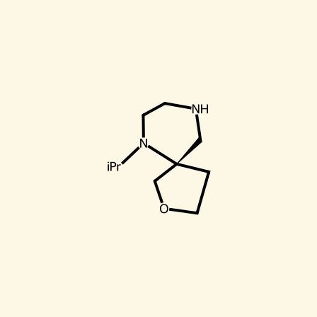 CC(C)N1CCNC[C@]12CCOC2